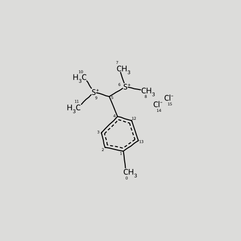 Cc1ccc(C([S+](C)C)[S+](C)C)cc1.[Cl-].[Cl-]